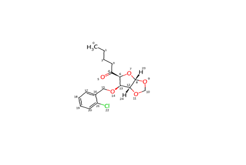 CCCCC(=O)[C@H]1O[C@@H]2OCO[C@@H]2[C@H]1OCc1ccccc1Cl